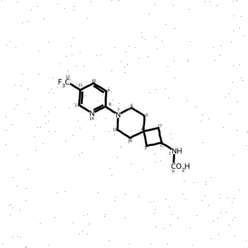 O=C(O)NC1CC2(CCN(c3ccc(C(F)(F)F)cn3)CC2)C1